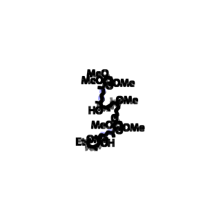 CC[C@H](OC)[C@@H](C)[C@@H]1C[C@H]1[C@H](O)[C@@H](C)/C=C/C=C(\C)[C@@H]1O[C@@H](OC)C[C@H](OCCC[C@H](OC)[C@@H](C)[C@@H]2C[C@H]2[C@H](O)[C@@H](C)/C=C/C=C(\C)[C@@H]2O[C@@H](OC)C[C@H](OC)[C@H]2OC)[C@@H]1OC